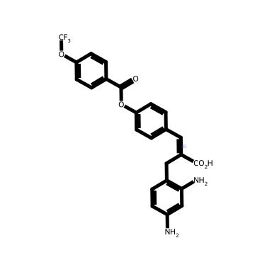 Nc1ccc(C/C(=C\c2ccc(OC(=O)c3ccc(OC(F)(F)F)cc3)cc2)C(=O)O)c(N)c1